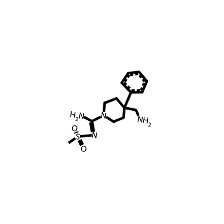 CS(=O)(=O)N=C(N)N1CCC(CN)(c2ccccc2)CC1